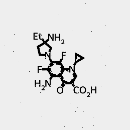 CCC1(N)CCN(c2c(F)c(N)c3c(=O)c(C(=O)O)cn(C4CC4)c3c2F)C1